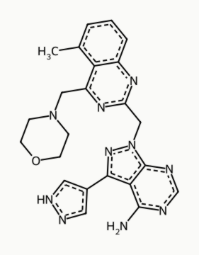 Cc1cccc2nc(Cn3nc(-c4cn[nH]c4)c4c(N)ncnc43)nc(CN3CCOCC3)c12